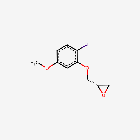 COc1ccc(I)c(OC[C@@H]2CO2)c1